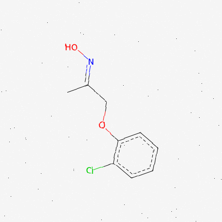 C/C(COc1ccccc1Cl)=N\O